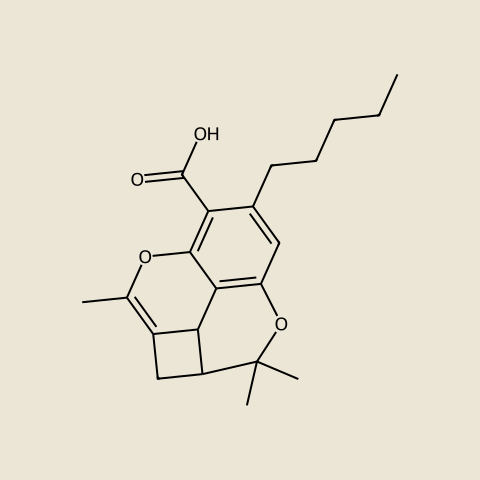 CCCCCc1cc2c3c(c1C(=O)O)OC(C)=C1CC(C13)C(C)(C)O2